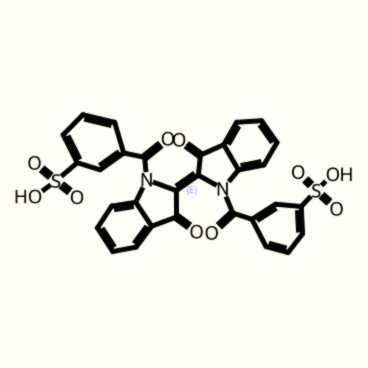 O=C1/C(=C2/C(=O)c3ccccc3N2C(=O)c2cccc(S(=O)(=O)O)c2)N(C(=O)c2cccc(S(=O)(=O)O)c2)c2ccccc21